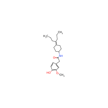 CCCC(CCC)=C1CCC(NC(=O)Cc2ccc(O)c(OC)c2)CC1